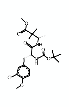 COC(=O)C(C)(C)[C@H](C)NC(=O)[C@@H](Cc1ccc(OC)c(Cl)c1)NC(=O)OC(C)(C)C